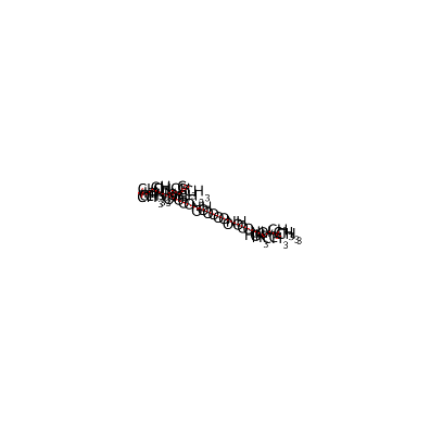 CC1=C(CCC(C)CCCC(C)CC(=O)NCCCC[C@H](NC(=O)CC(C)CCCC(C)CCC2=C(C)CCCC2(C)C)C(=O)NCCCOCCOCCOCCCNC(=O)CCOCCOCCOCCOCCOCCC(=O)NCCCOCCOCCOCCCNC(=O)CNC(=O)CC(C)CCCC(C)CCC2=C(C)CCCC2(C)C)C(C)(C)CCC1